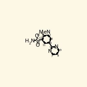 CNc1ccc(-c2ncccn2)cc1S(N)(=O)=O